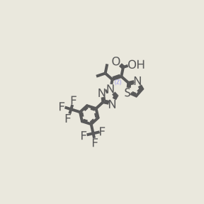 CC(C)/C(=C(\C(=O)O)c1nccs1)n1cnc(-c2cc(C(F)(F)F)cc(C(F)(F)F)c2)n1